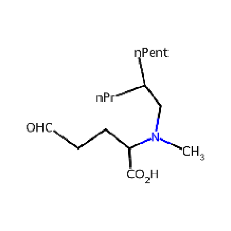 CCCCCC(CCC)CN(C)C(CCC=O)C(=O)O